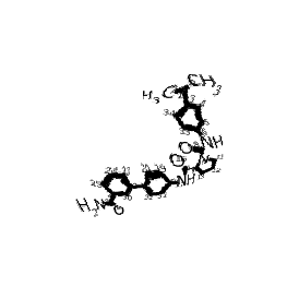 CC(C)c1ccc(NC(=O)N2CCC[C@@H]2C(=O)Nc2ccc(-c3cccc(C(N)=O)c3)cc2)cc1